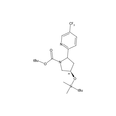 CC(C)(C)OC(=O)N1C[C@H](O[Si](C)(C)C(C)(C)C)CC1c1ccc(C(F)(F)F)cn1